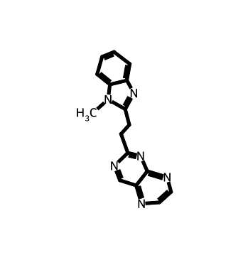 Cn1c(CCc2ncc3nccnc3n2)nc2ccccc21